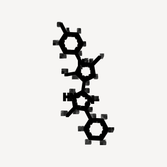 Cc1ccc(-n2c(C)cc(-c3nc(-c4ccccc4)c(C)[nH]3)c2C)cc1